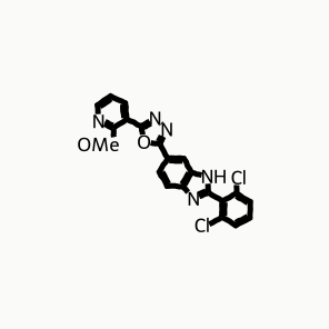 COc1ncccc1-c1nnc(-c2ccc3nc(-c4c(Cl)cccc4Cl)[nH]c3c2)o1